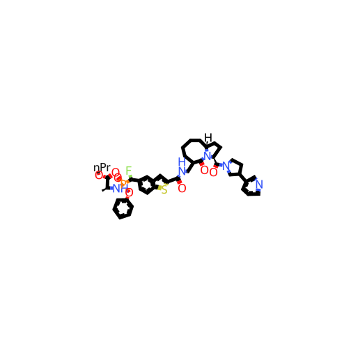 CCCOC(=O)[C@H](C)NP(=O)(Oc1ccccc1)C(F)c1ccc2sc(C(=O)NCC3CCCC[C@H]4CC[C@@H](C(=O)N5CCC(c6cccnc6)C5)N4C3=O)cc2c1